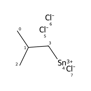 CC(C)[CH2][Sn+3].[Cl-].[Cl-].[Cl-]